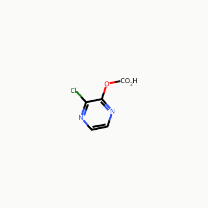 O=C(O)Oc1nccnc1Cl